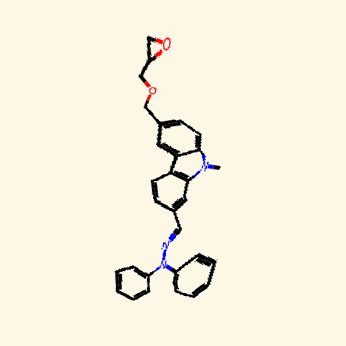 Cn1c2ccc(COCC3CO3)cc2c2ccc(C=NN(c3ccccc3)c3ccccc3)cc21